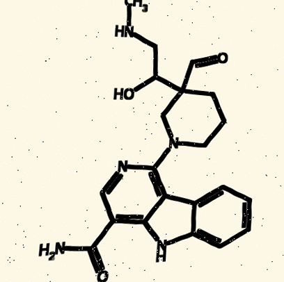 CNCC(O)C1(C=O)CCCN(c2ncc(C(N)=O)c3[nH]c4ccccc4c23)C1